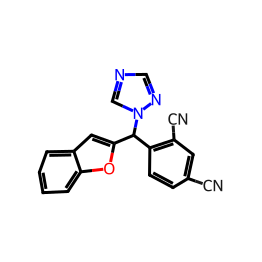 N#Cc1ccc(C(c2cc3ccccc3o2)n2cncn2)c(C#N)c1